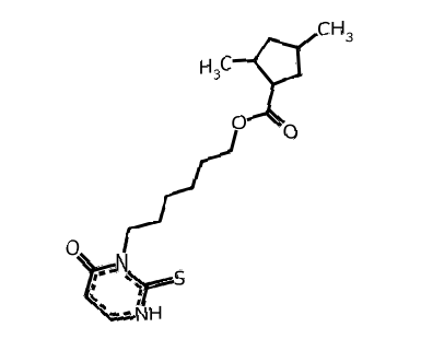 CC1CC(C)C(C(=O)OCCCCCCn2c(=O)cc[nH]c2=S)C1